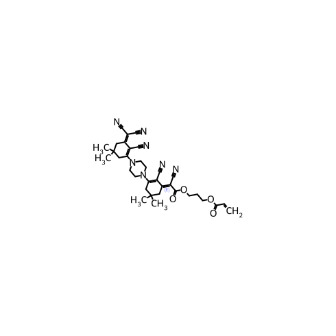 C=CC(=O)OCCCOC(=O)/C(C#N)=C1\CC(C)(C)CC(N2CCN(C3=C(C#N)C(=C(C#N)C#N)CC(C)(C)C3)CC2)=C1C#N